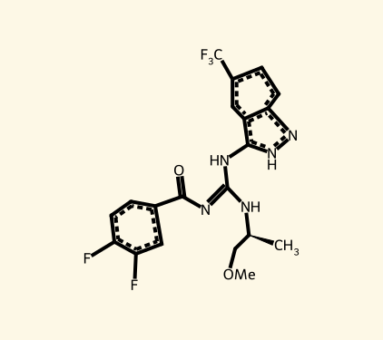 COC[C@H](C)N/C(=N/C(=O)c1ccc(F)c(F)c1)Nc1[nH]nc2ccc(C(F)(F)F)cc12